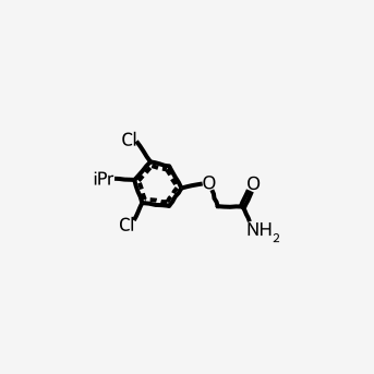 CC(C)c1c(Cl)cc(OCC(N)=O)cc1Cl